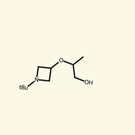 CC(CO)OC1CN(C(C)(C)C)C1